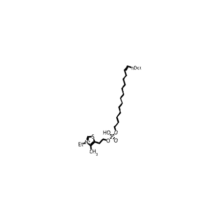 CCCCCCCC/C=C\CCCCCCCCCCCCOP(=O)(O)OCCc1sc[n+](CC)c1C